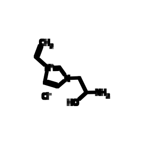 C=C[n+]1ccn(CC(N)O)c1.[Cl-]